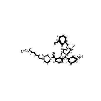 CCOC(=O)CCCCCN1CCCN(C(=O)c2cccc(C(c3cccc(O)c3)N3C[C@@H](C)N(Cc4cccc(F)c4)C[C@@H]3C)c2)CC1